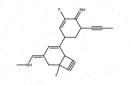 CC#CC1CC(C2=C/C(=C/NC)CC3(F)C#CC23)C=C(F)C1=N